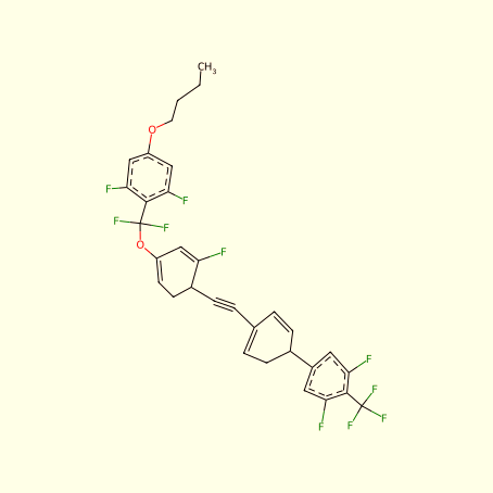 CCCCOc1cc(F)c(C(F)(F)OC2=CCC(C#CC3=CCC(c4cc(F)c(C(F)(F)F)c(F)c4)C=C3)C(F)=C2)c(F)c1